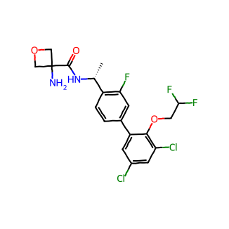 C[C@@H](NC(=O)C1(N)COC1)c1ccc(-c2cc(Cl)cc(Cl)c2OCC(F)F)cc1F